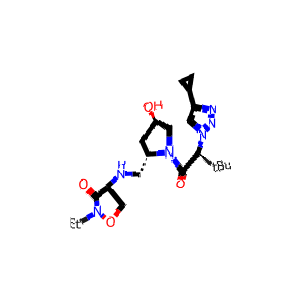 CCN1OCC(NC[C@@H]2C[C@@H](O)CN2C(=O)[C@@H](n2cc(C3CC3)nn2)C(C)(C)C)C1=O